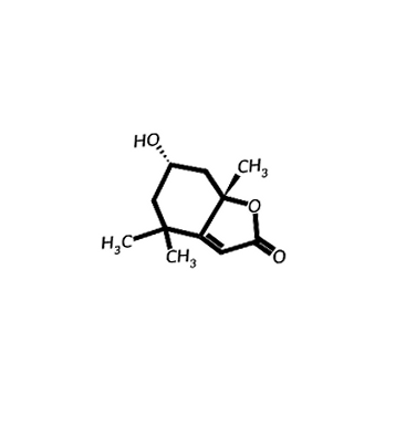 CC1(C)C[C@H](O)C[C@]2(C)OC(=O)C=C12